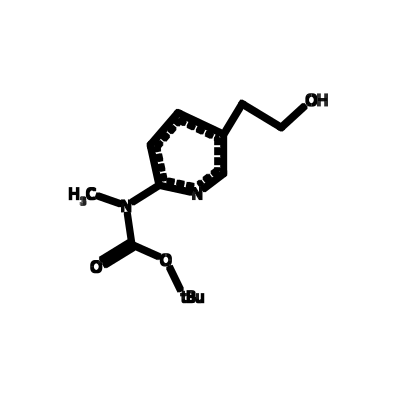 CN(C(=O)OC(C)(C)C)c1ccc(CCO)cn1